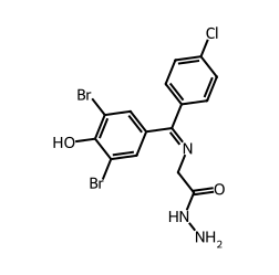 NNC(=O)CN=C(c1ccc(Cl)cc1)c1cc(Br)c(O)c(Br)c1